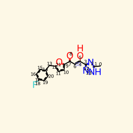 Cc1nc(/C(O)=C/C(=O)c2ccc(Cc3ccc(F)cc3)o2)n[nH]1